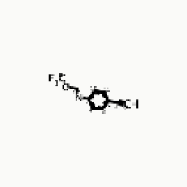 C#Cc1ccc(N=COC(F)(F)F)cc1